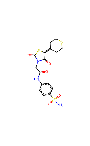 NS(=O)(=O)c1ccc(NC(=O)CN2C(=O)SC(=C3CCSCC3)C2=O)cc1